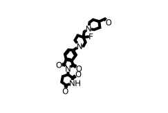 O=CC1CCN(CC2(F)CCN(c3ccc4c(c3)C(=O)N(C3CCC(=O)NC3=O)C4=O)CC2)CC1